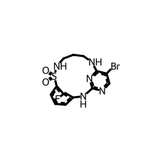 O=S1(=O)NCCCNc2nc(ncc2Br)Nc2cccc1c2F